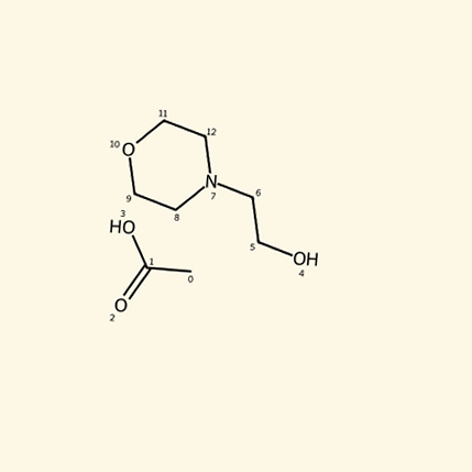 CC(=O)O.OCCN1CCOCC1